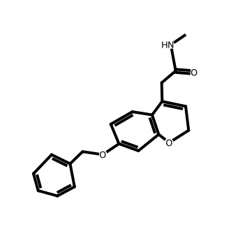 CNC(=O)CC1=CCOc2cc(OCc3ccccc3)ccc21